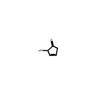 CCCC1C=CCC1=O